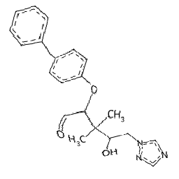 CC(C)(C(O)Cn1cncn1)C(C=O)Oc1ccc(-c2ccccc2)cc1